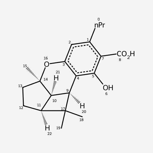 CCCc1cc2c(c(O)c1C(=O)O)[C@@H]1[C@H]3[C@H](CC[C@@]3(C)O2)C1(C)C